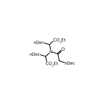 CCCCCCCCCCCC(=O)N(C(CCCCCCCCCC)C(=O)OCC)C(CCCCCCCCCC)C(=O)OCC